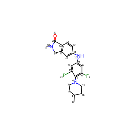 CC1CCN(c2c(F)cc(Nc3ccc4c(c3)CN(C)C4=O)cc2F)CC1